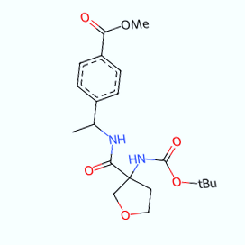 COC(=O)c1ccc(C(C)NC(=O)C2(NC(=O)OC(C)(C)C)CCOC2)cc1